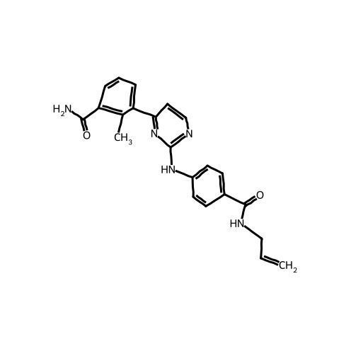 C=CCNC(=O)c1ccc(Nc2nccc(-c3cccc(C(N)=O)c3C)n2)cc1